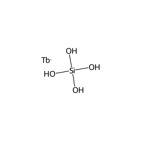 O[Si](O)(O)O.[Tb]